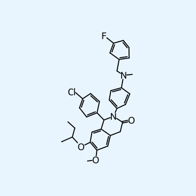 CCC(C)Oc1cc2c(cc1OC)CC(=O)N(c1ccc(N(C)Cc3cccc(F)c3)cc1)C2c1ccc(Cl)cc1